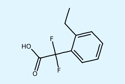 CCc1ccccc1C(F)(F)C(=O)O